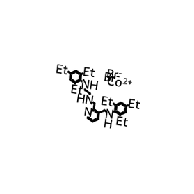 CCc1cc(CC)c(NCCNCc2ncccc2CNc2c(CC)cc(CC)cc2CC)c(CC)c1.[Br-].[Br-].[Co+2]